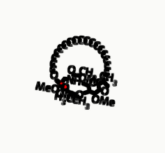 C=CC(=O)NCC1OC2C(OC)C(OC)C1OCCCCCCCCCCCCCCCCCCC1(C)COC3C(OC)C(OC2(C)C)C(COC)OC31